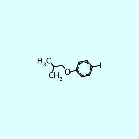 C[C](C)COc1ccc(I)cc1